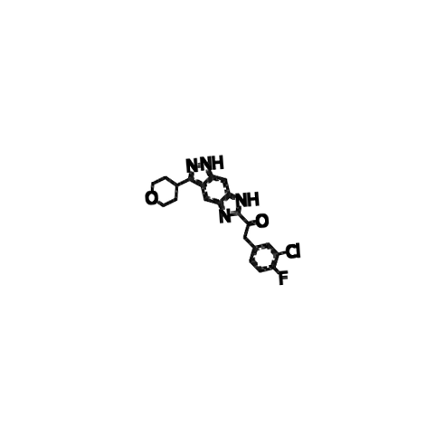 O=C(Cc1ccc(F)c(Cl)c1)c1nc2cc3c(C4CCOCC4)n[nH]c3cc2[nH]1